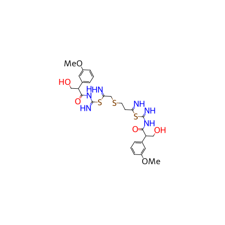 COc1cccc(C(CO)C(=O)NC(=N)SC(=N)CCSCC(=N)SC(=N)NC(=O)C(CO)c2cccc(OC)c2)c1